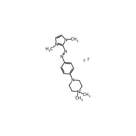 Cn1cc[n+](C)c1N=Nc1ccc(N2CC[N+](C)(C)CC2)cc1.[I-].[I-]